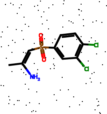 CC(N)=CS(=O)(=O)c1ccc(Cl)c(Cl)c1